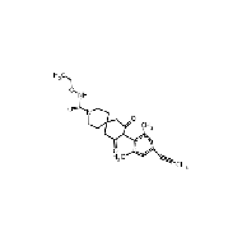 CC#Cc1cc(C)c(C2C(=O)CC3(CCN(C(=O)NOCC)CC3)CC2=O)c(C)c1